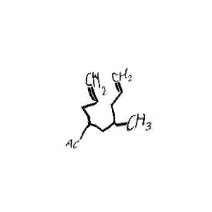 C=CCC(C)CC(CC=C)C(C)=O